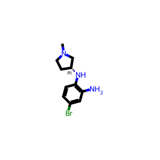 CN1CC[C@@H](Nc2ccc(Br)cc2N)C1